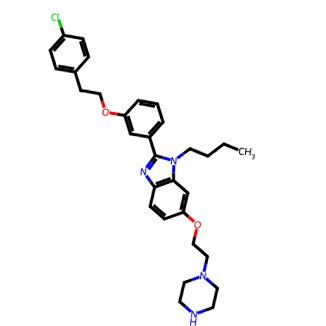 CCCCn1c(-c2cccc(OCCc3ccc(Cl)cc3)c2)nc2ccc(OCCN3CCNCC3)cc21